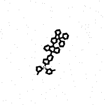 Cc1cccc(N(c2cccc(C)c2)c2ccc3cc(-c4c5ccccc5c(-c5ccc6c(c5)C(c5ccccc5)(c5ccccc5)c5ccccc5-6)c5ccccc45)ccc3c2)c1